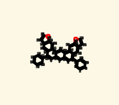 c1ccc(-c2cc3cc4cc(-c5ccccc5)c5cc6ccoc6cc5c4cc3c3cc4occc4cc23)cc1